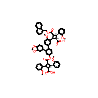 COc1ccccc1C1C(C(=O)O)[C@H](c2ccccc2OC)C1C(=O)Oc1ccc(-c2ccc(OC)c(C3C(C(=O)OCc4cccc5ccccc45)[C@@H](c4ccccc4OC)[C@H]3C(=O)O)c2)c(-c2ccc3c(c2)OCO3)c1